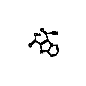 O=C(O)c1nc2ccccn2c1C(=O)O